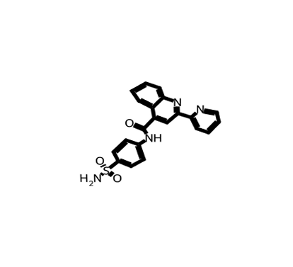 NS(=O)(=O)c1ccc(NC(=O)c2cc(-c3ccccn3)nc3ccccc23)cc1